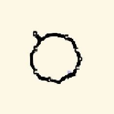 O=C1CCCCCCC/C=C/COCCCCC1